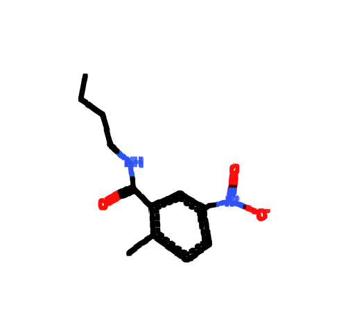 CCCCNC(=O)c1cc([N+](=O)[O-])ccc1C